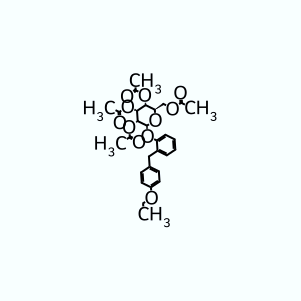 CCOc1ccc(Cc2ccccc2O[C@@H]2O[C@H](COC(C)=O)[C@@H](OC(C)=O)[C@H](OC(C)=O)[C@H]2OC(C)=O)cc1